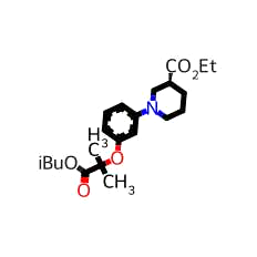 CCOC(=O)[C@H]1CCCN(c2cccc(OC(C)(C)C(=O)OCC(C)C)c2)C1